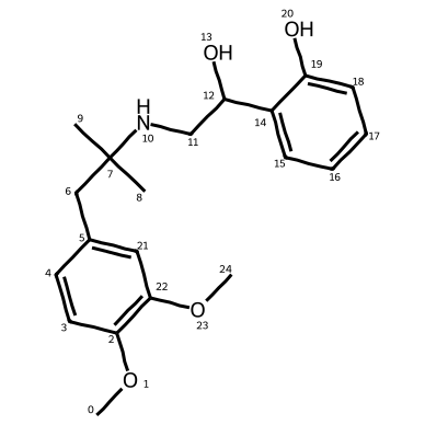 COc1ccc(CC(C)(C)NCC(O)c2ccccc2O)cc1OC